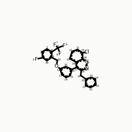 Fc1ccc(C(F)(F)F)c(COc2cccc(-c3c(Cc4ccccc4)nnc4c(Cl)cccc34)c2)c1